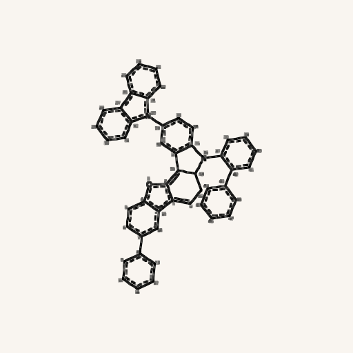 C1=c2c(oc3ccc(-c4ccccc4)cc23)=C2c3cc(-n4c5ccccc5c5ccccc54)ccc3N(c3ccccc3-c3ccccc3)C2C1